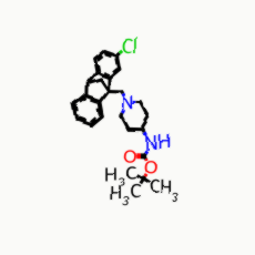 CC(C)(C)OC(=O)NC1CCN(CC23CC(c4ccccc42)c2ccc(Cl)cc23)CC1